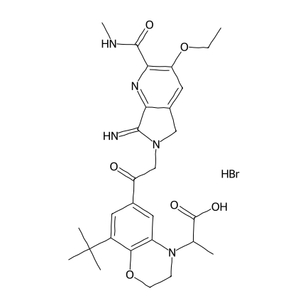 Br.CCOc1cc2c(nc1C(=O)NC)C(=N)N(CC(=O)c1cc3c(c(C(C)(C)C)c1)OCCN3C(C)C(=O)O)C2